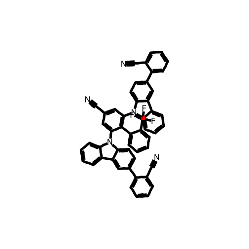 N#Cc1cc(-n2c3ccccc3c3cc(-c4ccccc4C#N)ccc32)c(-c2ccccc2C(F)(F)F)c(-n2c3ccccc3c3cc(-c4ccccc4C#N)ccc32)c1